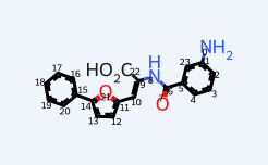 Nc1cccc(C(=O)NC(=Cc2ccc(-c3ccccc3)o2)C(=O)O)c1